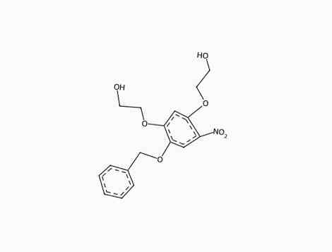 O=[N+]([O-])c1cc(OCc2ccccc2)c(OCCO)cc1OCCO